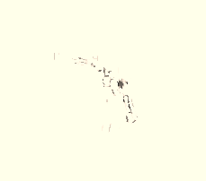 CCc1ccc2c(c(C)nn2COCC[Si](C)(C)C)c1NS(=O)(=O)c1cnn(-c2cc(C)ccn2)c1